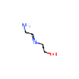 NCC=NCCO